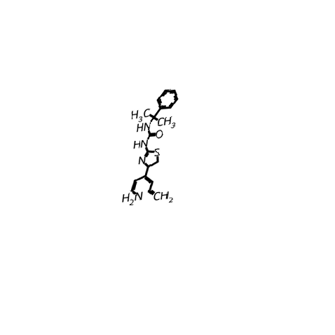 C=C/C=C(\C=C/N)C1CSC(NC(=O)NC(C)(C)c2ccccc2)=N1